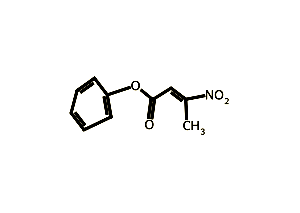 CC(=CC(=O)Oc1ccccc1)[N+](=O)[O-]